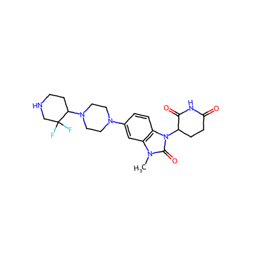 Cn1c(=O)n(C2CCC(=O)NC2=O)c2ccc(N3CCN(C4CCNCC4(F)F)CC3)cc21